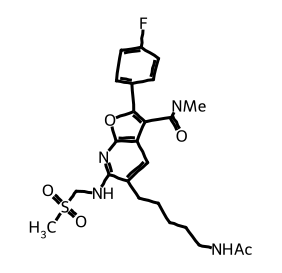 CNC(=O)c1c(-c2ccc(F)cc2)oc2nc(NCS(C)(=O)=O)c(CCCCCNC(C)=O)cc12